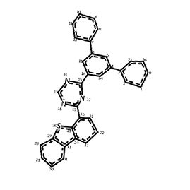 c1ccc(-c2cc(-c3ccccc3)cc(-c3ncnc(-c4cccc5c4sc4ccccc45)n3)c2)cc1